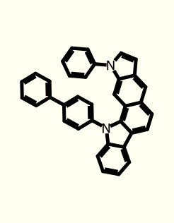 c1ccc(-c2ccc(-n3c4ccccc4c4ccc5cc6ccn(-c7ccccc7)c6cc5c43)cc2)cc1